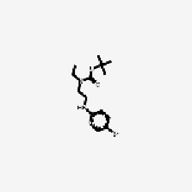 CCN(CCNc1ccc(Br)cn1)C(=O)OC(C)(C)C